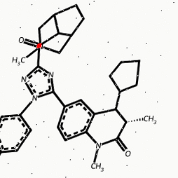 Cc1ccc(-n2nc(C(=O)C3C4CCC3CN(C)C4)nc2-c2ccc3c(c2)C(C2CCCC2)[C@H](C)C(=O)N3C)cc1